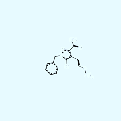 COC=Cc1c(C(=O)O)nn(Cc2ccccc2)c1Br